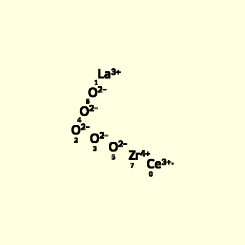 [Ce+3].[La+3].[O-2].[O-2].[O-2].[O-2].[O-2].[Zr+4]